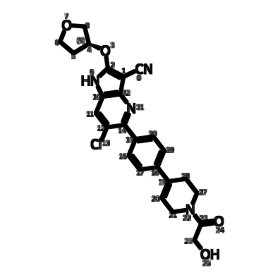 N#Cc1c(O[C@H]2CCOC2)[nH]c2cc(Cl)c(-c3ccc(C4=CCN(C(=O)CO)CC4)cc3)nc12